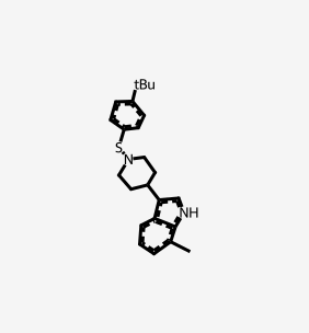 Cc1cccc2c(C3CCN(Sc4ccc(C(C)(C)C)cc4)CC3)c[nH]c12